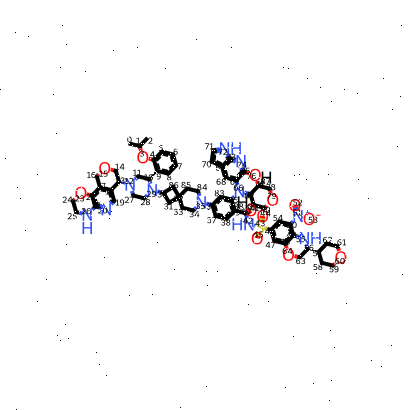 CC(C)Oc1ccccc1[C@@H]1CN([C@@H]2COCc3c2cnc2c3OCCN2)CCN1C1CC2(CCN(c3ccc(C(=O)NS(=O)(=O)c4cc5c(c([N+](=O)[O-])c4)N[C@H](C4CCOCC4)CO5)c(N4c5cc6cc[nH]c6nc5O[C@H]5COCC[C@@H]54)c3)CC2)C1